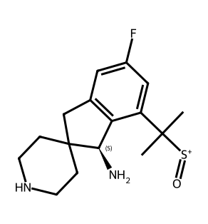 CC(C)([S+]=O)c1cc(F)cc2c1[C@@H](N)C1(CCNCC1)C2